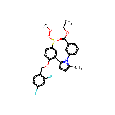 CCOC(=O)c1cccc(-n2c(C)ccc2-c2cc(SOOC)ccc2OCc2ccc(F)cc2F)c1